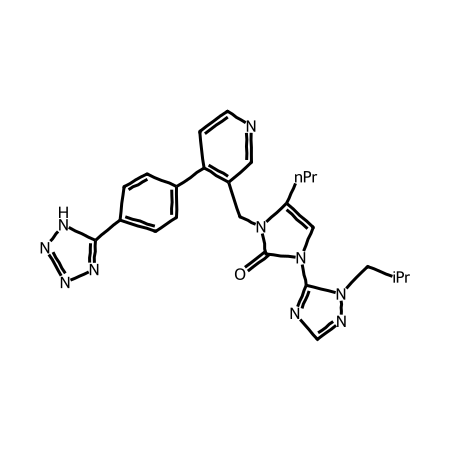 CCCc1cn(-c2ncnn2CC(C)C)c(=O)n1Cc1cnccc1-c1ccc(-c2nnn[nH]2)cc1